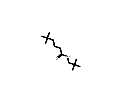 CC(C)(C)CCCC(=O)NCC(C)(C)C